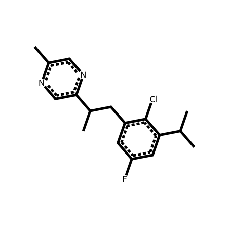 Cc1cnc(C(C)Cc2cc(F)cc(C(C)C)c2Cl)cn1